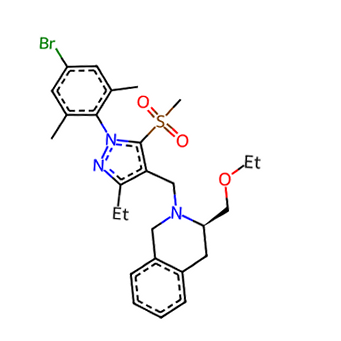 CCOC[C@H]1Cc2ccccc2CN1Cc1c(CC)nn(-c2c(C)cc(Br)cc2C)c1S(C)(=O)=O